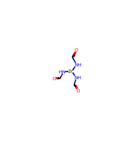 O=C[NH][Zr]([NH]C=O)[NH]C=O